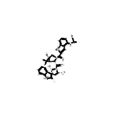 CC1(C)[C@@H]2[C@@H](C(=O)N3C[C@]4(C[C@H]3C#N)C(=O)Nc3ccccc34)N(C(=O)c3cc4c(OC(F)F)cccc4[nH]3)C[C@@H]21